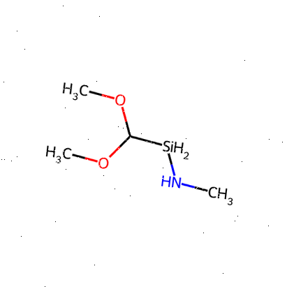 CN[SiH2]C(OC)OC